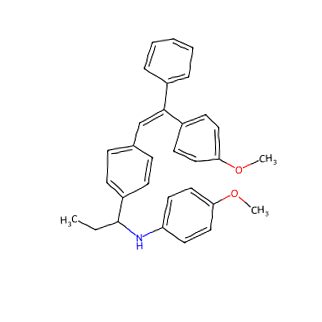 CCC(Nc1ccc(OC)cc1)c1ccc(C=C(c2ccccc2)c2ccc(OC)cc2)cc1